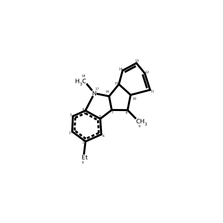 CCc1ccc2c(c1)C1C(C)C3C=CC=CC3C1N2C